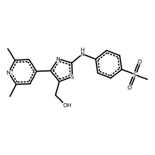 Cc1cc(-c2nc(Nc3ccc(S(C)(=O)=O)cc3)sc2CO)cc(C)n1